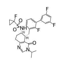 CC(C)n1cnc2c(c1=O)[C@@H](Cc1cccc(-c3cc(F)cc(F)c3)c1F)[C@@H](NS(=O)(=O)C1(F)CC1)CC2